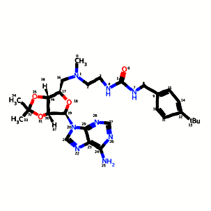 CN(CCNC(=O)NCc1ccc(C(C)(C)C)cc1)C[C@H]1O[C@@H](n2cnc3c(N)ncnc32)[C@@H]2OC(C)(C)O[C@@H]21